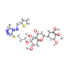 COc1cc(-c2cc(=O)c3c(OC)c(OCCCSc4nnc(C)n4N=Cc4cccs4)c(OC)cc3o2)cc(OC)c1OC